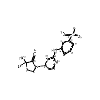 CCC1(C#N)CCN(c2ccnc(Nc3cccc(S(C)(=O)=O)c3)n2)C1=O